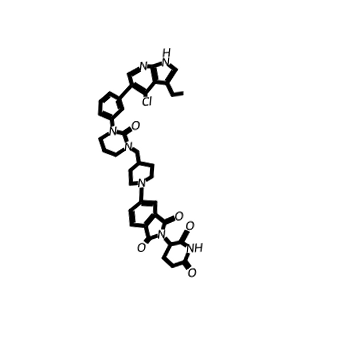 CCc1c[nH]c2ncc(-c3cccc(N4CCCN(CC5CCN(c6ccc7c(c6)C(=O)N(C6CCC(=O)NC6=O)C7=O)CC5)C4=O)c3)c(Cl)c12